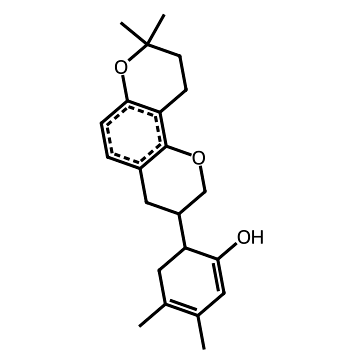 CC1=C(C)CC(C2COc3c(ccc4c3CCC(C)(C)O4)C2)C(O)=C1